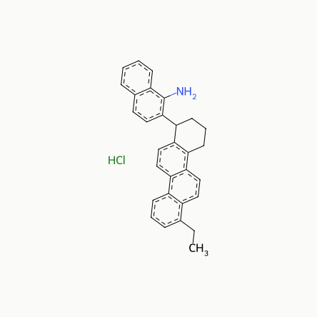 CCc1cccc2c1ccc1c3c(ccc12)C(c1ccc2ccccc2c1N)CCC3.Cl